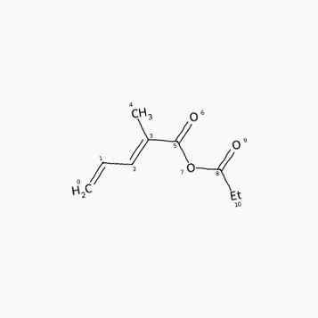 C=CC=C(C)C(=O)OC(=O)CC